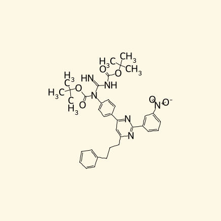 CC(C)(C)OC(=O)NC(=N)N(C(=O)OC(C)(C)C)c1ccc(-c2cc(CCCc3ccccc3)nc(-c3cccc([N+](=O)[O-])c3)n2)cc1